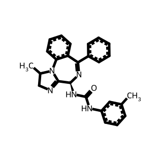 Cc1cccc(NC(=O)N[C@@H]2N=C(c3ccccc3)c3ccccc3N3C2=NCC3C)c1